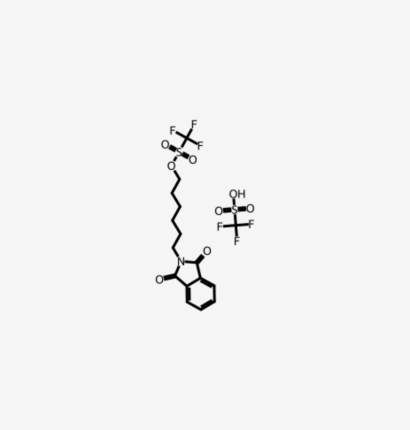 O=C1c2ccccc2C(=O)N1CCCCCCOS(=O)(=O)C(F)(F)F.O=S(=O)(O)C(F)(F)F